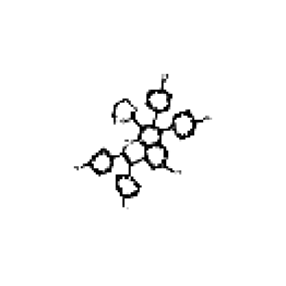 CC(C)c1cc2c3c(c(C4=NCCCN4)c(-c4ccc(Br)cc4)c(-c4ccc(Br)cc4)c3c1)OC(c1ccc(Br)cc1)=C2c1ccc(Br)cc1